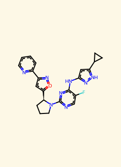 Fc1cnc(N2CCC[C@H]2c2cc(-c3ccccn3)no2)nc1Nc1cc(C2CC2)[nH]n1